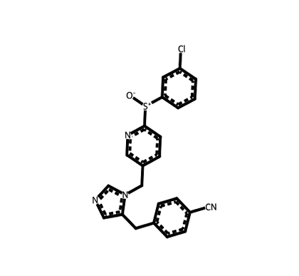 N#Cc1ccc(Cc2cncn2Cc2ccc([S+]([O-])c3cccc(Cl)c3)nc2)cc1